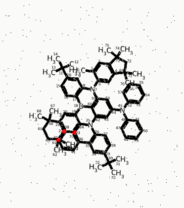 Cc1cc2c(cc1N1c3cc(C(C)(C)C)ccc3B3c4cc5c(cc4N(c4ccc(C(C)(C)C)cc4-c4ccccc4)c4cc(N(c6ccccc6)c6ccccc6)cc1c43)C(C)(C)CCC5(C)C)C(C)(C)CC2(C)C